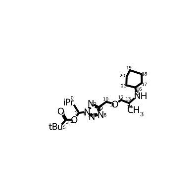 CC(C)C(OC(=O)C(C)(C)C)n1nnc(COC[C@@H](C)NC2CCCCC2)n1